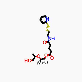 COC(COC(=O)CCCC(=O)NCCSSc1ccccn1)OC(C)CO